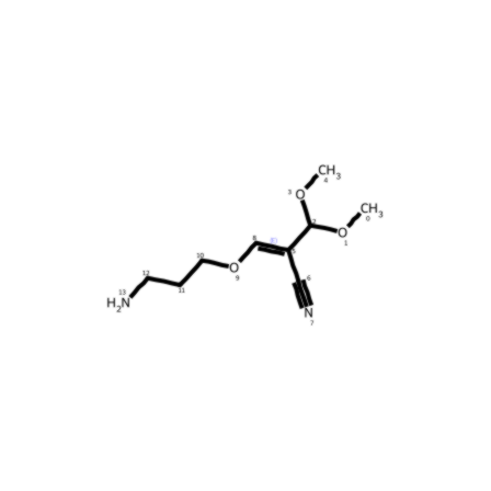 COC(OC)/C(C#N)=C/OCCCN